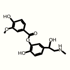 CNCC(O)c1ccc(O)c(OC(=O)c2ccc(O)c(OC)c2)c1